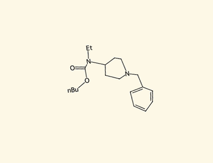 CCCCOC(=O)N(CC)C1CCN(Cc2ccccc2)CC1